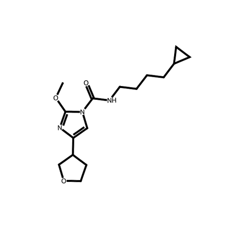 COc1nc(C2CCOC2)cn1C(=O)NCCCCC1CC1